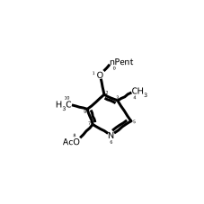 CCCCCOc1c(C)cnc(OC(C)=O)c1C